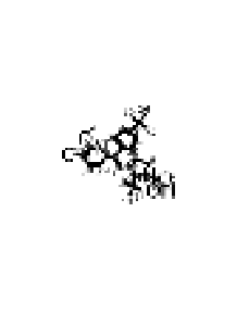 COc1nc(C(=C[C@H]2CCN(C(=O)O)C2C(C)(C)C)c2ccc(C(C)(C)C)cc2)ccc1Cl